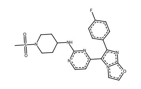 CS(=O)(=O)N1CCC(Nc2nccc(-c3c(-c4ccc(F)cc4)nc4occn34)n2)CC1